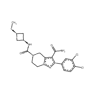 CS[C@H]1C[C@@H](NC(=O)N2CCn3nc(-c4ccc(Cl)c(Cl)c4)c(C(N)=O)c3C2)C1